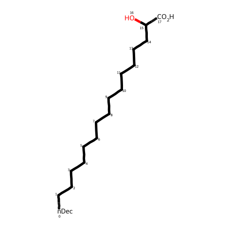 CCCCCCCCCCCCCCCCCCCCCCCCC(O)C(=O)O